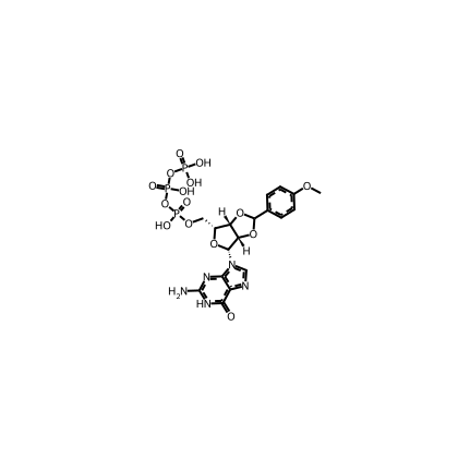 COc1ccc(C2O[C@@H]3[C@H](O2)[C@H](n2cnc4c(=O)[nH]c(N)nc42)O[C@@H]3COP(=O)(O)OP(=O)(O)OP(=O)(O)O)cc1